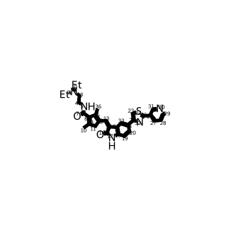 CCN(CC)CCNC(=O)C1=C(C)CC(/C=C2\C(=O)Nc3ccc(-c4csc(-c5cccnc5)n4)cc32)=C1C